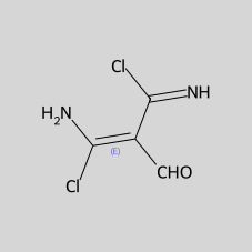 N=C(Cl)/C(C=O)=C(\N)Cl